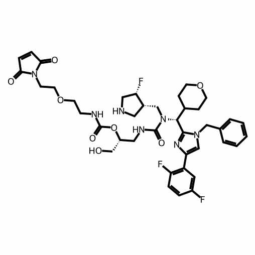 O=C(NCCOCCN1C(=O)C=CC1=O)O[C@@H](CO)CNC(=O)N(C[C@@H]1CNC[C@@H]1F)[C@@H](c1nc(-c2cc(F)ccc2F)cn1Cc1ccccc1)C1CCOCC1